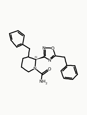 NC(=O)N1CCCC(Cc2ccccc2)[C@H]1c1noc(Cc2ccccc2)n1